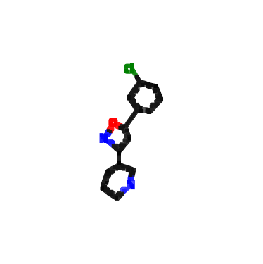 Clc1cccc(-c2cc(-c3cccnc3)no2)c1